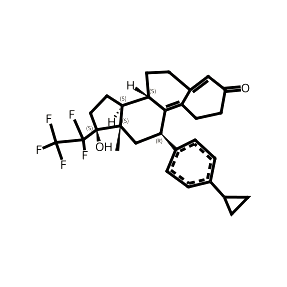 C[C@]12C[C@H](c3ccc(C4CC4)cc3)C3=C4CCC(=O)C=C4CC[C@H]3[C@@H]1CC[C@@]2(O)C(F)(F)C(F)(F)F